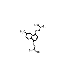 CCCCC(CC)COc1ccc(OCC(CC)CCCC)c2cc(C)ccc12